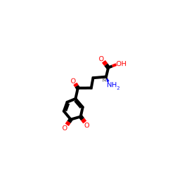 N[C@@H](CCC(=O)C1=CC(=O)C(=O)C=C1)C(=O)O